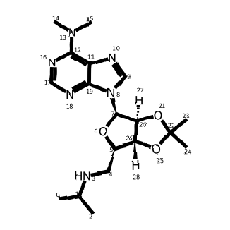 CC(C)NC[C@H]1O[C@@H](n2cnc3c(N(C)C)ncnc32)[C@H]2OC(C)(C)O[C@@H]21